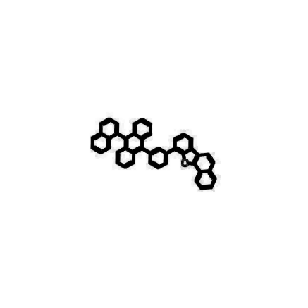 c1cc(-c2c3ccccc3c(-c3cccc4ccccc34)c3ccccc23)cc(-c2cccc3c2oc2c4ccccc4ccc32)c1